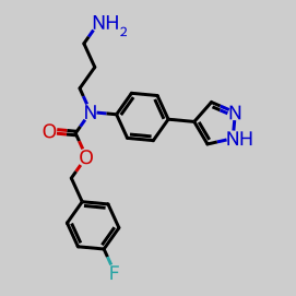 NCCCN(C(=O)OCc1ccc(F)cc1)c1ccc(-c2cn[nH]c2)cc1